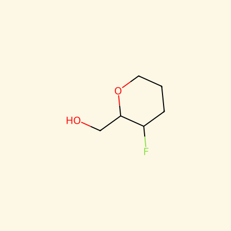 OCC1OCCCC1F